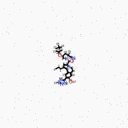 CCCc1cc(C(=O)N2C[C@@H](O[Si](C)(C)C(C)(C)C)C[C@]2(C)C#N)n2c1-c1cc(-c3nnn(C)n3)c(OC)cc1CC2